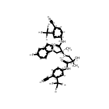 C[C@](O)(CO[C@@](C)(Cn1ccc2cc(F)ccc21)C(=O)Nc1ccc(C#N)c(C(F)(F)F)c1)C(=O)Nc1ccc(C#N)c(C(F)(F)F)c1